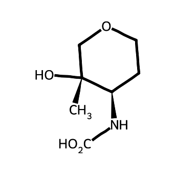 C[C@@]1(O)COCC[C@H]1NC(=O)O